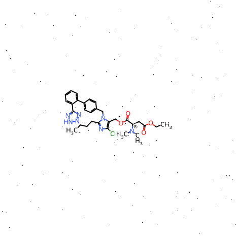 CCCCc1nc(Cl)c(COC(=O)[C@@H](CC(=O)OCC)N(C)C)n1Cc1ccc(-c2ccccc2-c2nn[nH]n2)cc1